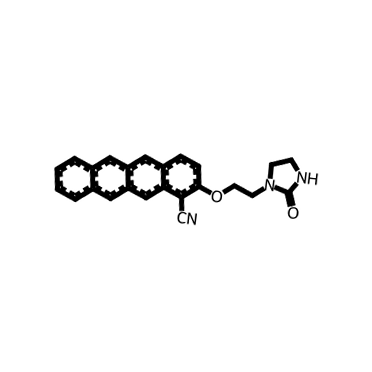 N#Cc1c(OCCN2CCNC2=O)ccc2cc3cc4ccccc4cc3cc12